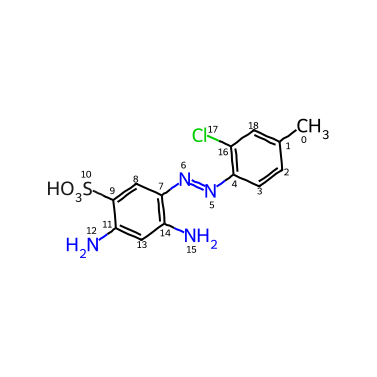 Cc1ccc(N=Nc2cc(S(=O)(=O)O)c(N)cc2N)c(Cl)c1